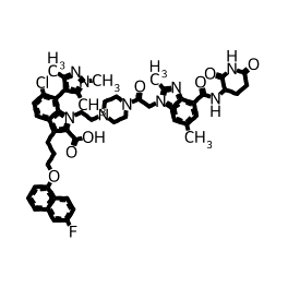 Cc1cc(C(=O)NC2CCC(=O)NC2=O)c2nc(C)n(CC(=O)N3CCN(CCn4c(C(=O)O)c(CCCOc5cccc6cc(F)ccc56)c5ccc(Cl)c(-c6c(C)nn(C)c6C)c54)CC3)c2c1